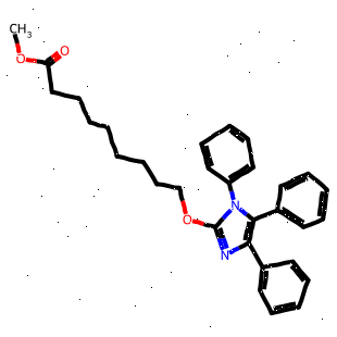 COC(=O)CCCCCCCCOc1nc(-c2ccccc2)c(-c2ccccc2)n1-c1ccccc1